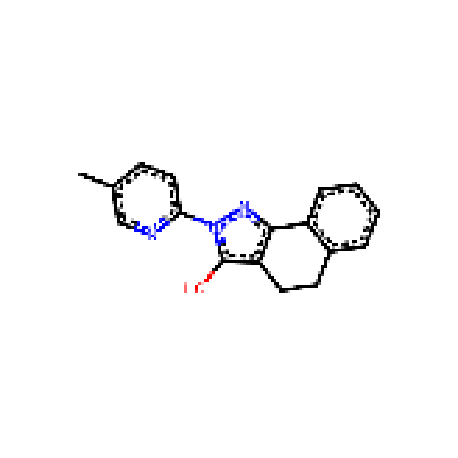 Cc1ccc(-n2nc3c(c2O)CCc2ccccc2-3)nc1